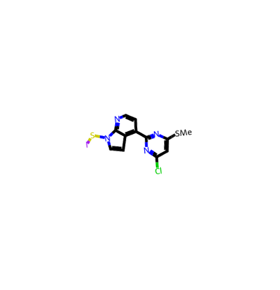 CSc1cc(Cl)nc(-c2ccnc3c2ccn3SI)n1